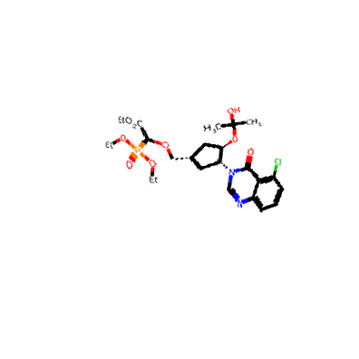 CCOC(=O)C(OC[C@H]1C[C@@H](n2cnc3cccc(Cl)c3c2=O)[C@H](OC(C)(C)O)C1)P(=O)(OCC)OCC